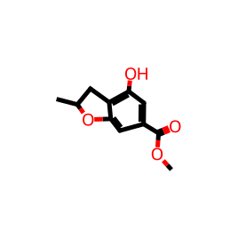 COC(=O)c1cc(O)c2c(c1)OC(C)C2